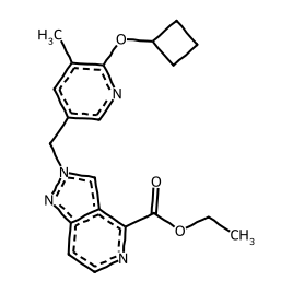 CCOC(=O)c1nccc2nn(Cc3cnc(OC4CCC4)c(C)c3)cc12